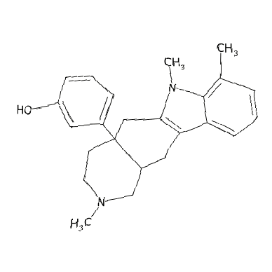 Cc1cccc2c3c(n(C)c12)CC1(c2cccc(O)c2)CCN(C)CC1C3